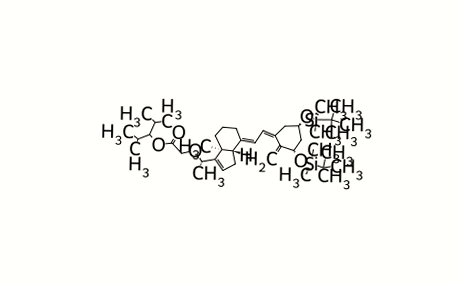 C=C1C(=CC=C2CCC[C@]3(C)C([C@H](C)OCC(=O)OC(C(C)C)C(C)C)=CC[C@@H]23)C[C@@H](O[Si](C)(C)C(C)(C)C)C[C@@H]1O[Si](C)(C)C(C)(C)C